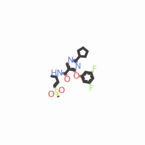 CC(C=CS(C)(=O)=O)NC(=O)c1cnc(C2CCCC2)nc1Oc1cc(F)cc(F)c1